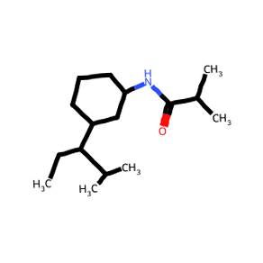 CCC(C(C)C)C1CCCC(NC(=O)C(C)C)C1